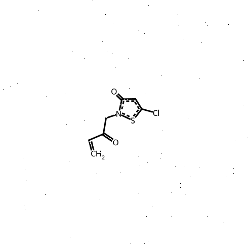 C=CC(=O)Cn1sc(Cl)cc1=O